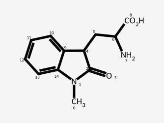 CN1C(=O)C(CC(N)C(=O)O)c2ccccc21